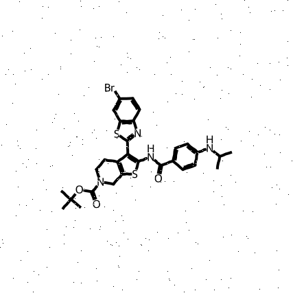 CC(C)Nc1ccc(C(=O)Nc2sc3c(c2-c2nc4ccc(Br)cc4s2)CCN(C(=O)OC(C)(C)C)C3)cc1